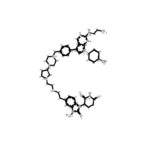 Cn1c(=O)n(C2CCC(=O)NC2=O)c2ccc(CCOCCN3CCC(N4CCN(Cc5ccc(-c6cn([C@H]7CC[C@H](O)CC7)c7nc(NCCC(F)(F)F)ncc67)cc5)CC4)C3)cc21